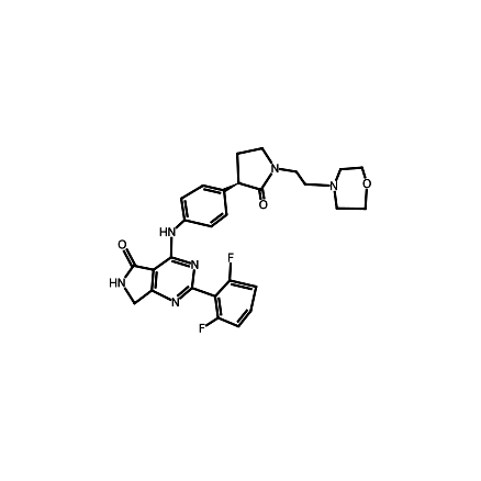 O=C1NCc2nc(-c3c(F)cccc3F)nc(Nc3ccc([C@H]4CCN(CCN5CCOCC5)C4=O)cc3)c21